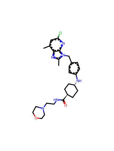 Cc1cc(Cl)nc2c1nc(C)n2Cc1ccc(N[C@H]2CC[C@H](C(=O)NCCN3CCOCC3)CC2)cc1